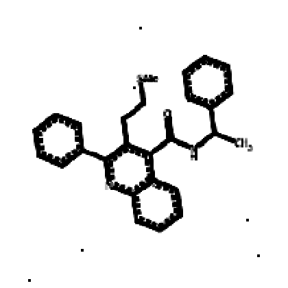 CSCCc1c(-c2ccccc2)nc2ccccc2c1C(=O)NC(C)c1ccccc1